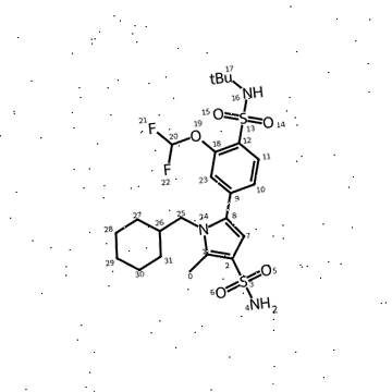 Cc1c(S(N)(=O)=O)cc(-c2ccc(S(=O)(=O)NC(C)(C)C)c(OC(F)F)c2)n1CC1CCCCC1